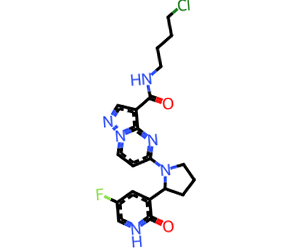 O=C(NCCCCCl)c1cnn2ccc(N3CCCC3c3cc(F)c[nH]c3=O)nc12